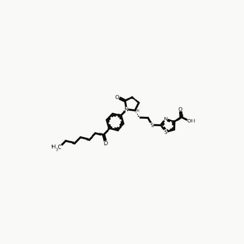 CCCCCCC(=O)c1ccc(N2C(=O)CC[C@@H]2CCSc2nc(C(=O)O)cs2)cc1